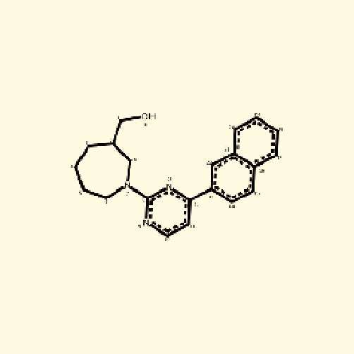 OCC1CCCCN(c2nccc(-c3ccc4ccccc4c3)n2)C1